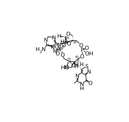 Cc1nc2c([C@@H]3O[C@@H]4COP(=O)(O)O[C@H]5[C@H]6OC[C@]5(COP(=O)(O)O[C@@H]3[C@@H]4CO)O[C@H]6n3cnc4c(N)ncnc43)snc2c(=O)[nH]1